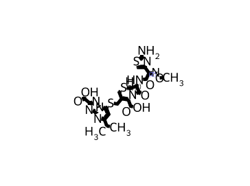 CO/N=C(\C(=O)N[C@@H]1C(=O)N2C(C(=O)O)=C(CSc3cc(C(C)C)nc4nc(C(=O)O)nn34)CS[C@H]12)c1csc(N)n1